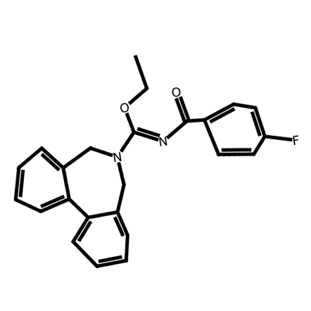 CCOC(=NC(=O)c1ccc(F)cc1)N1Cc2ccccc2-c2ccccc2C1